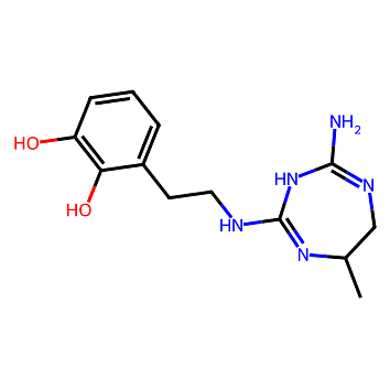 CC1CN=C(N)NC(NCCc2cccc(O)c2O)=N1